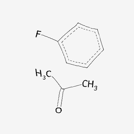 CC(C)=O.Fc1ccccc1